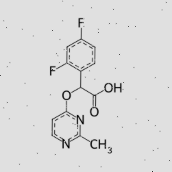 Cc1nccc(OC(C(=O)O)c2ccc(F)cc2F)n1